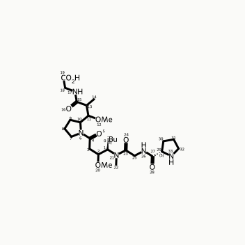 CC[C@H](C)C(C(CC(=O)N1CCCC1C(OC)C(C)C(=O)NCC(=O)O)OC)N(C)C(=O)CNC(=O)[C@@H]1CCCN1